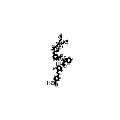 COCCN(CCOC)S(=O)(=O)N1CCN(Cc2cccc(C(=O)Nc3sc4c(c3C(=O)Nc3cc(F)c(CCc5ccc(C(=O)O)cc5)c(F)c3)CCCC4)c2)C(C)(C)C1